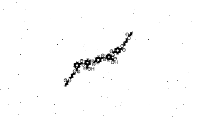 C=CC(=O)OCCCCOC(=O)C1CCC(C(=O)Oc2ccc(OC(=O)C3CCC(C(=O)Oc4ccc(OC(=O)C5CCCC(C(=O)OCCCCOC(=O)C=C)C5)c(C(=O)O)c4)CC3)cc2C(=O)O)CC1